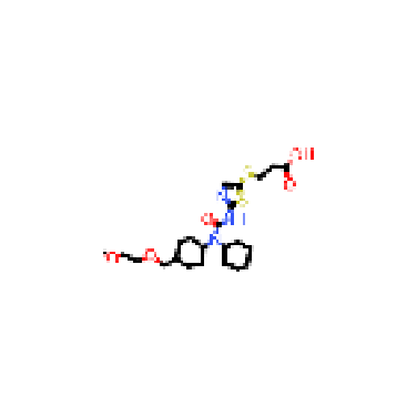 COCCOCC1CCC(N(C(=O)Nc2ncc(SCCC(=O)O)s2)C2CCCCC2)CC1